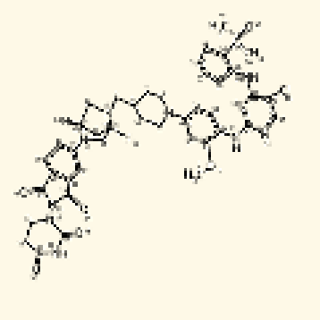 COc1cc(N2CCC(CN3C[C@@H]4C[C@H]3CN4c3ccc4c(c3)C(=O)N(N3CCC(=O)NC3=O)C4=O)CC2)ccc1Nc1ncc(Cl)c(Nc2ccccc2P(C)(C)=O)n1